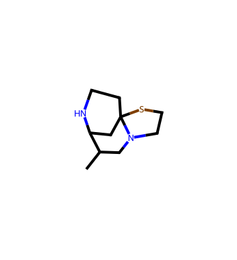 CC1CN2CCSC23CCNC1C3